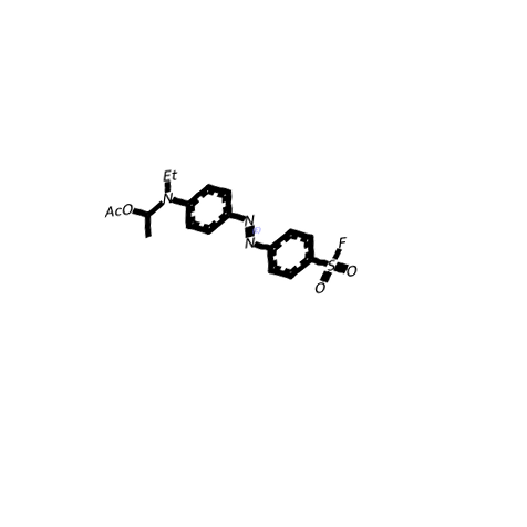 CCN(c1ccc(/N=N/c2ccc(S(=O)(=O)F)cc2)cc1)C(C)OC(C)=O